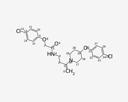 C=C(CCNC(=O)COc1ccc(Cl)cc1)N1CCC(Oc2ccc(Cl)cc2)CC1